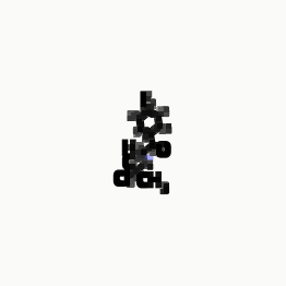 CC(C)(Cl)/C=C/C(=O)c1ccc(F)cc1